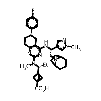 CC[C@@H](N(C)c1nc2c(c(N[C@@H](CN3C4CCCC3CC4)c3cnn(C)c3)n1)C[C@H](c1ccc(F)cc1)CC2)C12CC(C(=O)O)(C1)C2